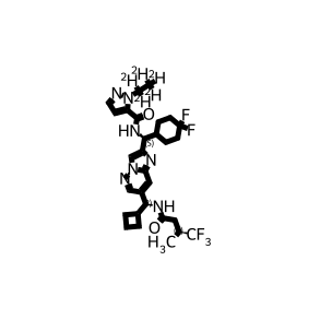 [2H]C([2H])([2H])C([2H])([2H])n1nccc1C(=O)N[C@H](c1cn2ncc([C@H](NC(=O)C[C@@H](C)C(F)(F)F)C3CCC3)cc2n1)C1CCC(F)(F)CC1